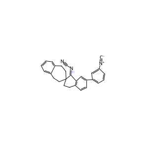 [C-]#[N+]c1cccc(-c2ccc3c(c2)/C(=N/C#N)C2(CCc4ccccc4CC2)CC3)c1